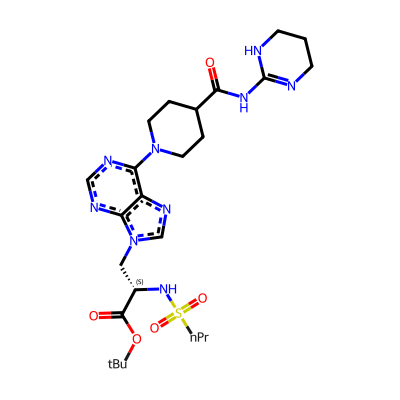 CCCS(=O)(=O)N[C@@H](Cn1cnc2c(N3CCC(C(=O)NC4=NCCCN4)CC3)ncnc21)C(=O)OC(C)(C)C